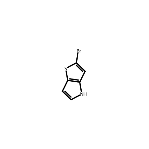 Brc1cc2[nH]ccc2s1